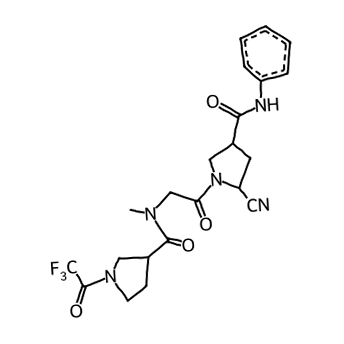 CN(CC(=O)N1CC(C(=O)Nc2ccccc2)CC1C#N)C(=O)C1CCN(C(=O)C(F)(F)F)C1